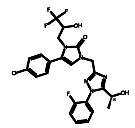 C[C@H](O)c1nc(Cn2cc(-c3ccc(Cl)cc3)n(CC(O)C(F)(F)F)c2=O)nn1-c1ccccc1F